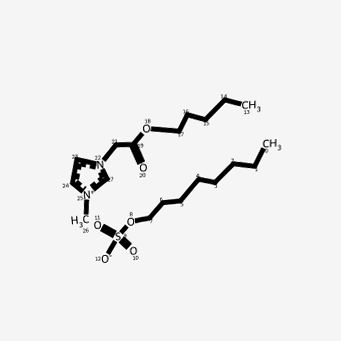 CCCCCCCCOS(=O)(=O)[O-].CCCCCOC(=O)Cn1cc[n+](C)c1